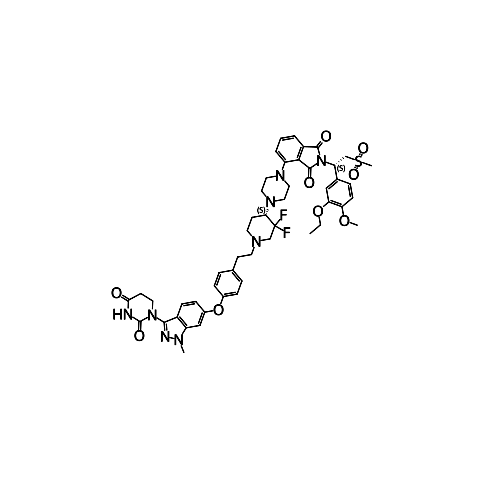 CCOc1cc([C@@H](CS(C)(=O)=O)N2C(=O)c3cccc(N4CCN([C@H]5CCN(CCc6ccc(Oc7ccc8c(N9CCC(=O)NC9=O)nn(C)c8c7)cc6)CC5(F)F)CC4)c3C2=O)ccc1OC